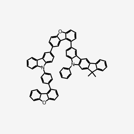 CC1(C)c2ccccc2-c2cc3c4cc(-c5cccc6oc7ccc(-c8ccc9c(c8)c8ccccc8n9-c8ccc(-c9cccc%10oc%11ccccc%11c9%10)cc8)cc7c56)ccc4n(-c4ccccc4)c3cc21